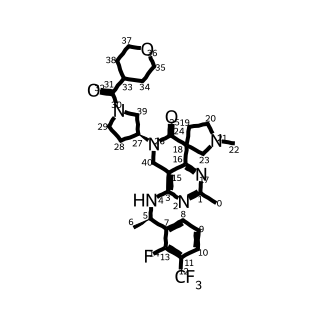 Cc1nc(N[C@H](C)c2cccc(C(F)(F)F)c2F)c2c(n1)C1(CCN(C)C1)C(=O)N([C@H]1CCN(C(=O)C3CCOCC3)C1)C2